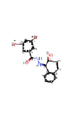 O=C(N/N=C1/c2ccccc2C=CC1O)c1cc(Br)cc(Br)c1